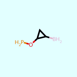 BC1CC1OP